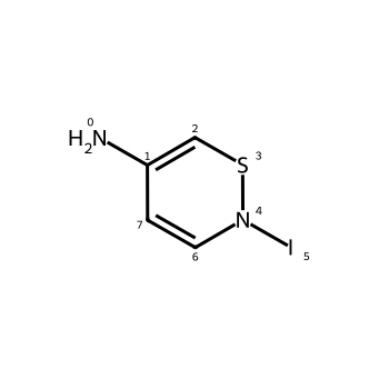 NC1=CSN(I)C=C1